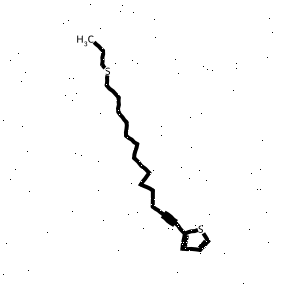 CCCSCCCCCCCCCCCC#Cc1cccs1